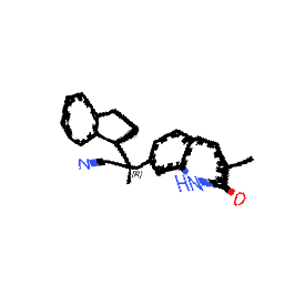 Cc1cc2ccc([C@](C)(C#N)C3CCc4ccccc43)cc2[nH]c1=O